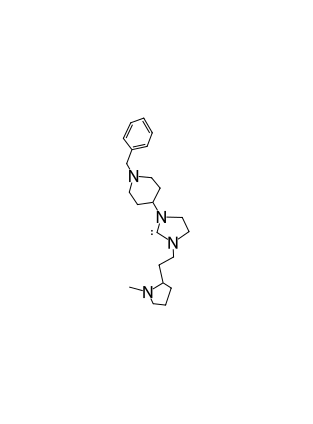 CN1CCCC1CCN1[C]N(C2CCN(Cc3ccccc3)CC2)CC1